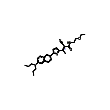 CCCN(CCC)c1ccc2cc(-c3ccc(/C(C)=C(\C#N)C(=O)NCCOCC)s3)ccc2c1